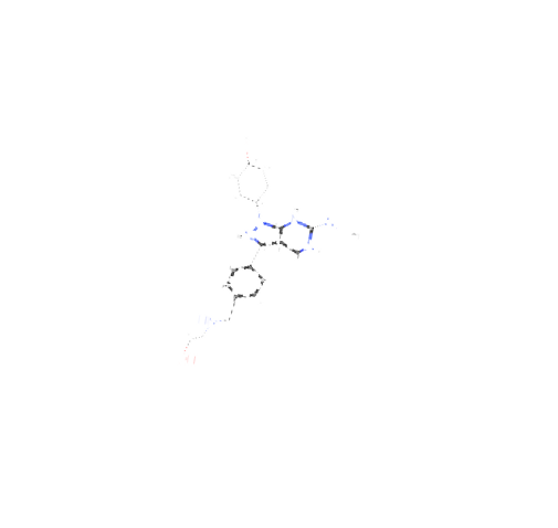 CCC[C@@H](C)Nc1ncc2c(-c3ccc(CNCCO)cc3)nn(C3CCC(O)CC3)c2n1